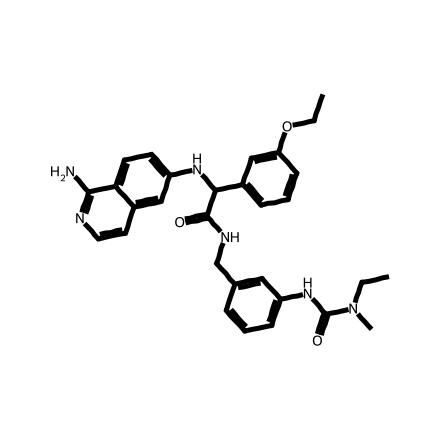 CCOc1cccc(C(Nc2ccc3c(N)nccc3c2)C(=O)NCc2cccc(NC(=O)N(C)CC)c2)c1